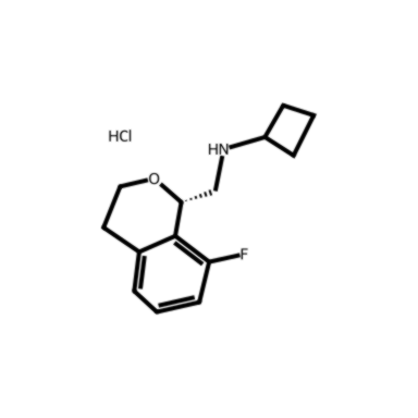 Cl.Fc1cccc2c1[C@@H](CNC1CCC1)OCC2